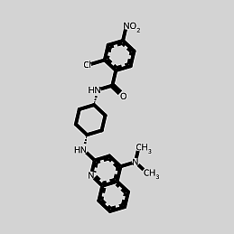 CN(C)c1cc(N[C@H]2CC[C@@H](NC(=O)c3ccc([N+](=O)[O-])cc3Cl)CC2)nc2ccccc12